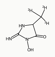 [2H]C([2H])([2H])C1NC(=N)N(O)C1=O